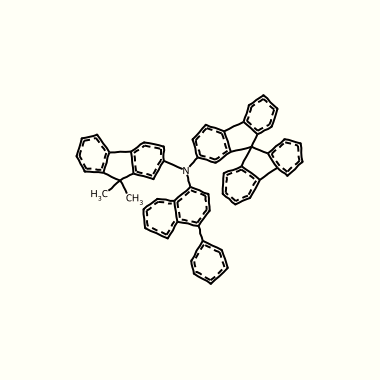 CC1(C)c2ccccc2-c2ccc(N(c3ccc4c(c3)C3(c5ccccc5-c5ccccc53)c3ccccc3-4)c3ccc(-c4ccccc4)c4ccccc34)cc21